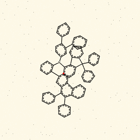 c1ccc(-c2ccc(N(c3ccccc3-c3ccc4c(c3)c(-c3ccccc3)c(-c3ccccc3)c3ccccc34)c3cccc4c3-c3ccccc3C4(c3ccccc3)c3ccccc3)cc2-c2ccccc2)cc1